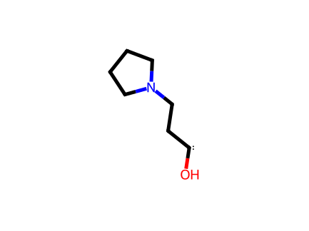 O[C]CCN1CCCC1